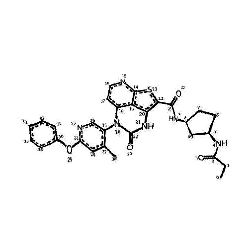 CCC(=O)N[C@@H]1CC[C@H](NC(=O)c2sc3nccc4c3c2NC(=O)N4c2cnc(Oc3ccccc3)cc2C)C1